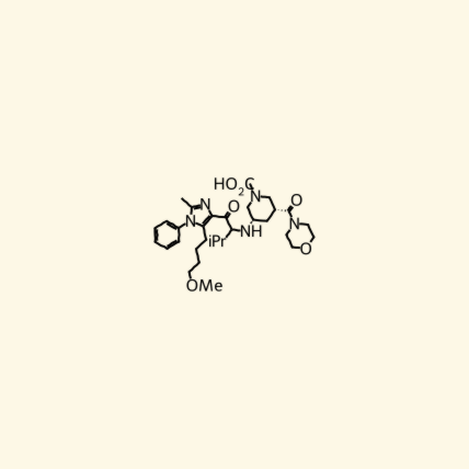 COCCCCc1c(C(=O)C(N[C@H]2C[C@@H](C(=O)N3CCOCC3)CN(C(=O)O)C2)C(C)C)nc(C)n1-c1ccccc1